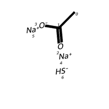 CC(=O)[O-].[Na+].[Na+].[SH-]